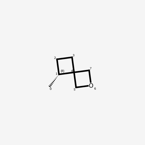 C[C@@H]1CCC12COC2